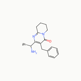 CC(C)C(N)c1nc2n(c(=O)c1Cc1ccccc1)CCCC2